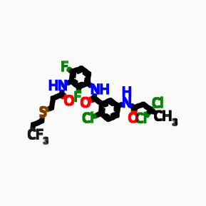 CC(Cl)(Cl)CC(=O)Nc1ccc(Cl)c(C(=O)Nc2ccc(F)c(NC(=O)CCSCCC(F)(F)F)c2F)c1